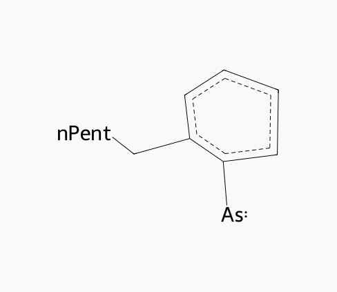 CCCCCCc1ccccc1[As]